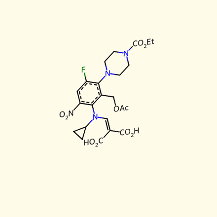 CCOC(=O)N1CCN(c2c(F)cc([N+](=O)[O-])c(N(C=C(C(=O)O)C(=O)O)C3CC3)c2COC(C)=O)CC1